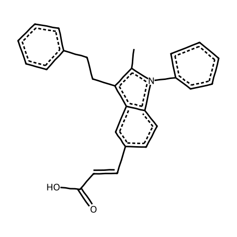 Cc1c(CCc2ccccc2)c2cc(C=CC(=O)O)ccc2n1-c1ccccc1